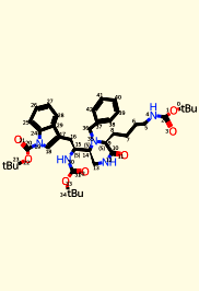 CC(C)(C)OC(=O)NCCCC[C@H]1C(=O)NC[C@@H]([C@H](Cc2cn(C(=O)OC(C)(C)C)c3ccccc23)NC(=O)OC(C)(C)C)N1Cc1ccccc1